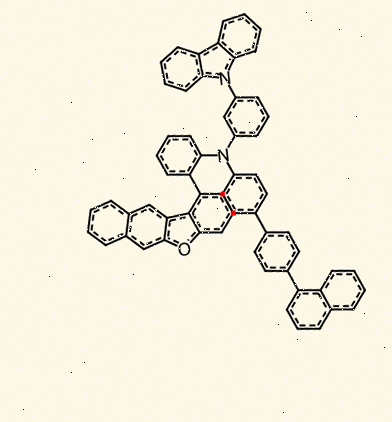 c1cc(N(c2ccc(-c3ccc(-c4cccc5ccccc45)cc3)cc2)c2ccccc2-c2cccc3oc4cc5ccccc5cc4c23)cc(-n2c3ccccc3c3ccccc32)c1